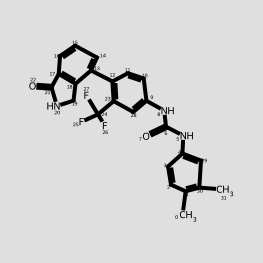 Cc1ccc(NC(=O)Nc2ccc(-c3cccc4c3CNC4=O)c(C(F)(F)F)c2)cc1C